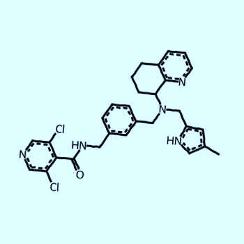 Cc1c[nH]c(CN(Cc2cccc(CNC(=O)c3c(Cl)cncc3Cl)c2)C2CCCc3cccnc32)c1